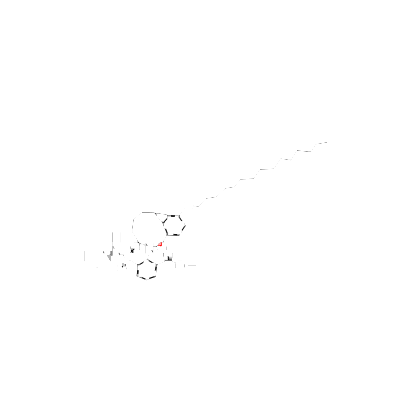 CCCCCCCCCCCCCCCCOc1ccc2c3c1C3CCCCN(c1c(C(=O)O)cccc1S(=O)(=O)NN)C2=O